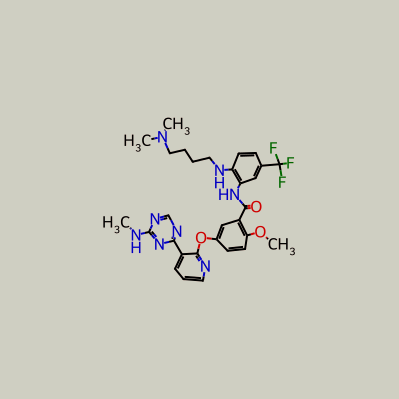 CNc1ncnc(-c2cccnc2Oc2ccc(OC)c(C(=O)Nc3cc(C(F)(F)F)ccc3NCCCCN(C)C)c2)n1